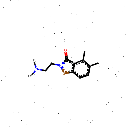 CCN(CC)CCn1sc2ccc(C)c(C)c2c1=O